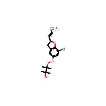 CCOC(=O)/C=C/C1Cc2cc(BOC(C)(C)C(C)(C)O)cc(Cl)c2O1